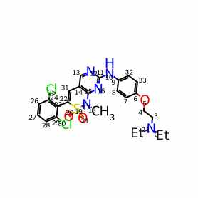 CCN(CC)CCOc1ccc(Nc2ncc3c(n2)N(C)S(=O)(=O)C(c2c(Cl)cccc2Cl)=C3)cc1